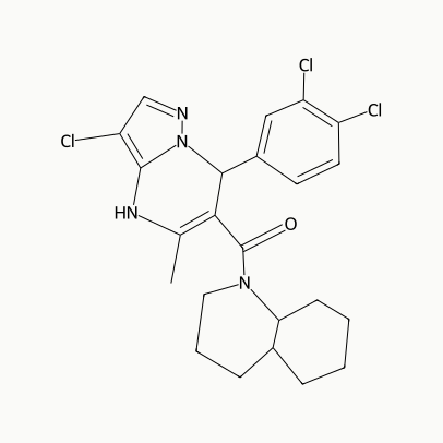 CC1=C(C(=O)N2CCCC3CCCCC32)C(c2ccc(Cl)c(Cl)c2)n2ncc(Cl)c2N1